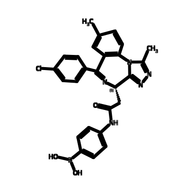 Cc1ccc2c(c1)C(c1ccc(Cl)cc1)=N[C@@H](CC(=O)Nc1ccc(B(O)O)cc1)c1nnc(C)n1-2